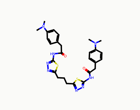 CN(C)c1ccc(CC(=O)Nc2nnc(CCCc3nnc(NC(=O)Cc4ccc(N(C)C)cc4)s3)s2)cc1